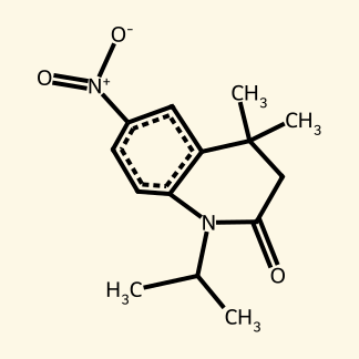 CC(C)N1C(=O)CC(C)(C)c2cc([N+](=O)[O-])ccc21